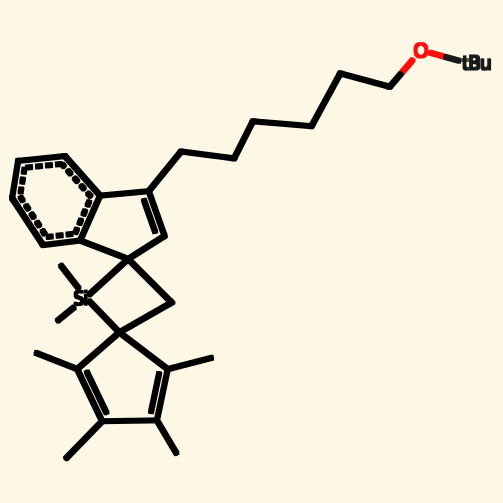 CC1=C(C)C2(CC3(C=C(CCCCCCOC(C)(C)C)c4ccccc43)[Si]2(C)C)C(C)=C1C